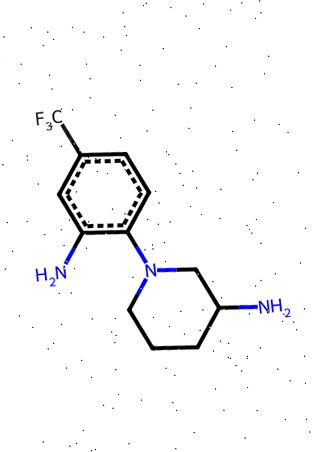 Nc1cc(C(F)(F)F)ccc1N1CCCC(N)C1